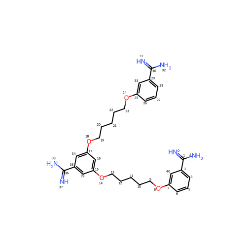 N=C(N)c1cccc(OCCCCCOc2cc(OCCCCCOc3cccc(C(=N)N)c3)cc(C(=N)N)c2)c1